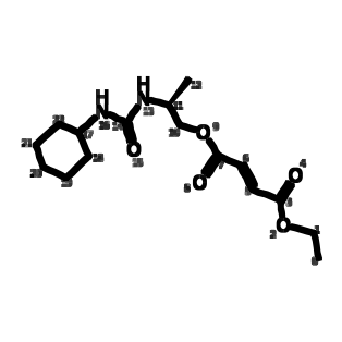 CCOC(=O)/C=C/C(=O)OC[C@H](C)NC(=O)NC1CCCCC1